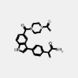 CC(=O)N1CCN(C(=O)c2ccc3[nH]cc(-c4ccc(C(C)C(N)=O)cc4)c3c2)CC1